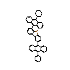 c1ccc(-c2c3ccccc3c(-c3ccc4sc5c(-c6c7ccccc7c(C7CCCCC7)c7ccccc67)cccc5c4c3)c3ccccc23)cc1